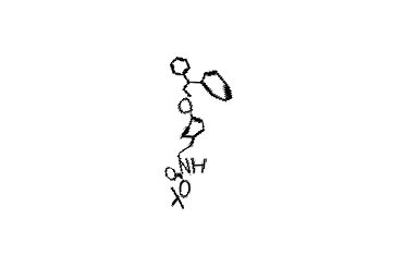 CC(C)(C)OC(=O)NCCc1ccc(OCCC(c2ccccc2)c2ccccc2)cc1